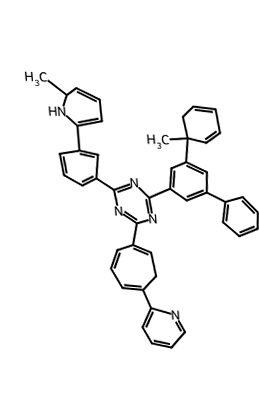 CC1C=CC=C(c2cccc(-c3nc(C4=CCC(c5ccccn5)=CC=C4)nc(-c4cc(-c5ccccc5)cc(C5(C)C=CC=CC5)c4)n3)c2)N1